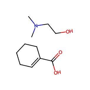 CN(C)CCO.O=C(O)C1=CCCCC1